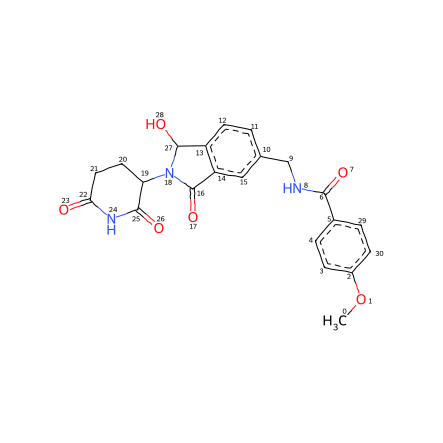 COc1ccc(C(=O)NCc2ccc3c(c2)C(=O)N(C2CCC(=O)NC2=O)C3O)cc1